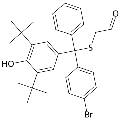 CC(C)(C)c1cc(C(SCC=O)(c2ccccc2)c2ccc(Br)cc2)cc(C(C)(C)C)c1O